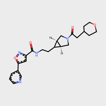 O=C(NCCC1[C@H]2CN(C(=O)CC3CCOCC3)C[C@@H]12)c1cc(-c2cccnc2)on1